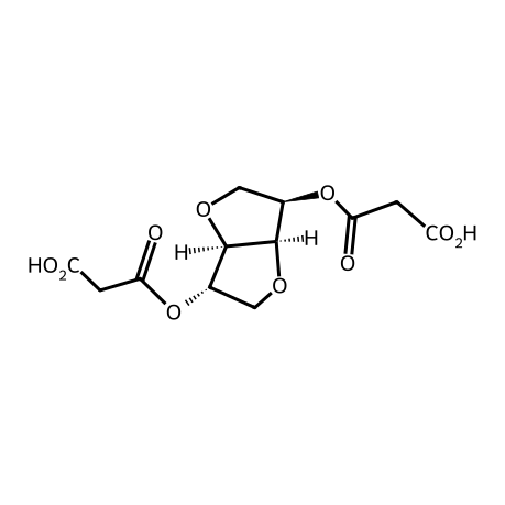 O=C(O)CC(=O)O[C@H]1CO[C@H]2[C@@H]1OC[C@H]2OC(=O)CC(=O)O